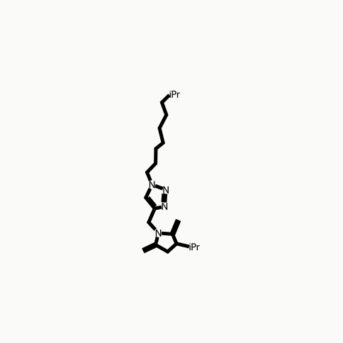 C=C1CC(C(C)C)C(=C)N1Cc1cn(CCCCCCCC(C)C)nn1